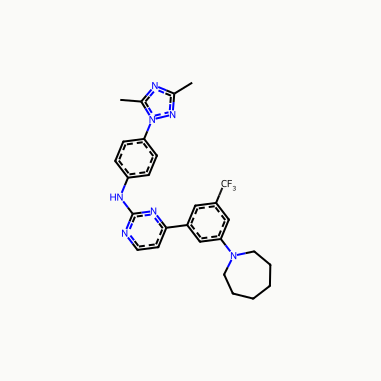 Cc1nc(C)n(-c2ccc(Nc3nccc(-c4cc(N5CCCCCC5)cc(C(F)(F)F)c4)n3)cc2)n1